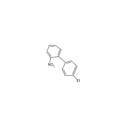 CCc1ccc(-c2ccccc2[N+](=O)[O-])cc1